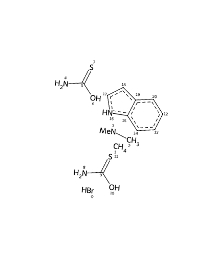 Br.C.CNC.NC(O)=S.NC(O)=S.c1ccc2[nH]ccc2c1